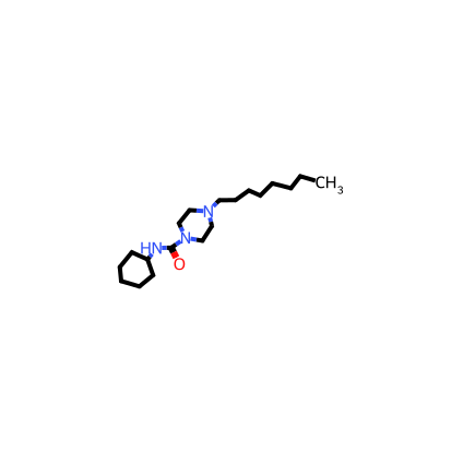 CCCCCCCCN1CCN(C(=O)NC2CCCCC2)CC1